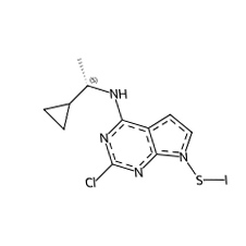 C[C@H](Nc1nc(Cl)nc2c1ccn2SI)C1CC1